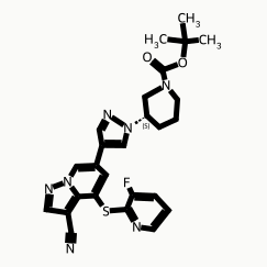 CC(C)(C)OC(=O)N1CCC[C@H](n2cc(-c3cc(Sc4ncccc4F)c4c(C#N)cnn4c3)cn2)C1